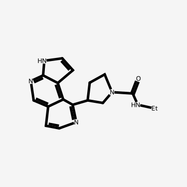 CCNC(=O)N1CCC(c2nccc3cnc4[nH]ccc4c23)C1